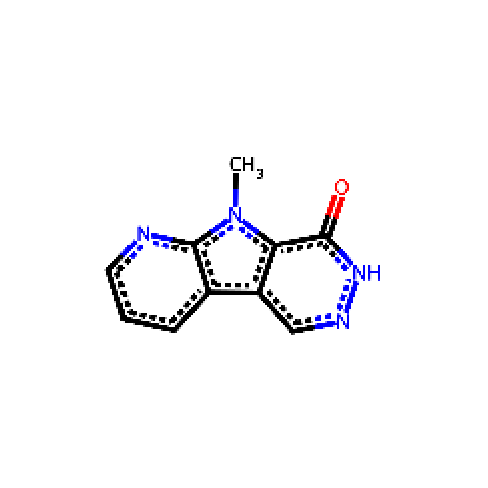 Cn1c2ncccc2c2cn[nH]c(=O)c21